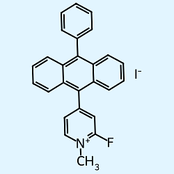 C[n+]1ccc(-c2c3ccccc3c(-c3ccccc3)c3ccccc23)cc1F.[I-]